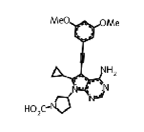 COc1cc(C#Cc2c(C3CC3)n([C@H]3CCN(C(=O)O)C3)c3ncnc(N)c23)cc(OC)c1